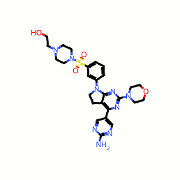 Nc1ncc(-c2nc(N3CCOCC3)nc3c2CCN3c2cccc(S(=O)(=O)N3CCN(CCO)CC3)c2)cn1